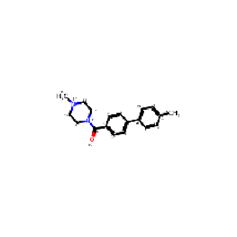 Cc1ccc(-c2ccc(C(=O)N3CCN(C)CC3)cc2)cc1